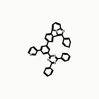 C1=CC(c2nc3cccc4c5ccc(-c6cc(-c7cccnc7)cc(-c7nc(-c8ccccc8)nc(-c8ccccc8)n7)c6)cc5c2n34)=CCC1